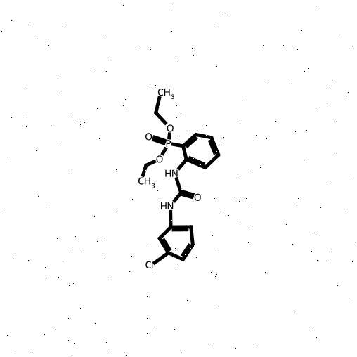 CCOP(=O)(OCC)c1ccccc1NC(=O)Nc1cccc(Cl)c1